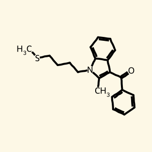 CSCCCCn1c(C)c(C(=O)c2ccccc2)c2ccccc21